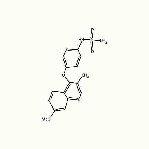 COc1ccc2c(Oc3ccc(NS(N)(=O)=O)cc3)c(C)cnc2c1